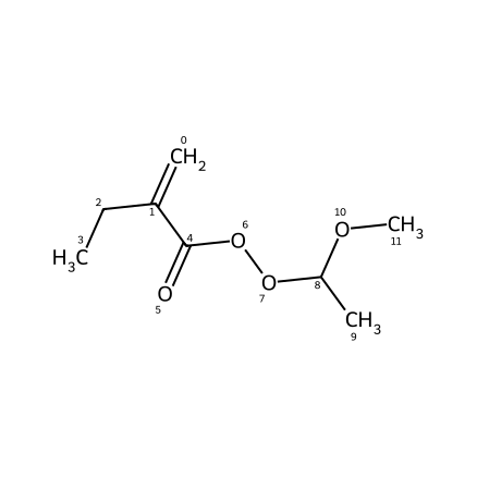 C=C(CC)C(=O)OOC(C)OC